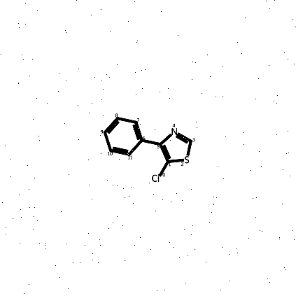 Clc1scnc1-c1c[c]ccc1